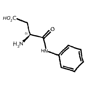 N[C@@H](CC(=O)O)C(=O)Nc1ccccc1